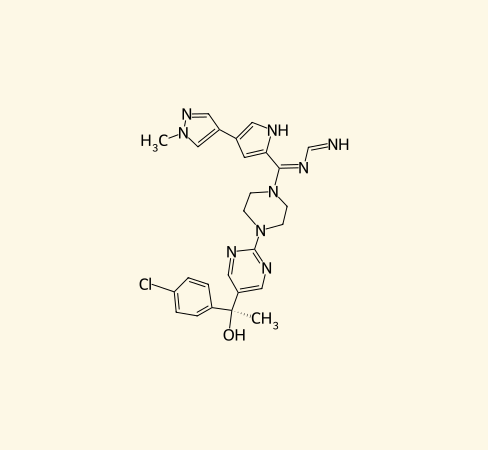 Cn1cc(-c2c[nH]c(/C(=N\C=N)N3CCN(c4ncc([C@@](C)(O)c5ccc(Cl)cc5)cn4)CC3)c2)cn1